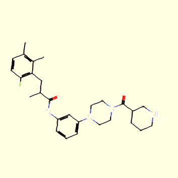 Cc1ccc(F)c(CC(C)C(=O)Nc2cccc(N3CCN(C(=O)C4CCCNC4)CC3)c2)c1C